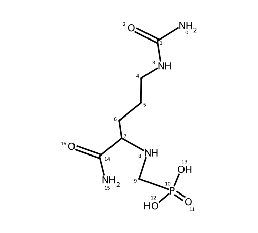 NC(=O)NCCCC(NCP(=O)(O)O)C(N)=O